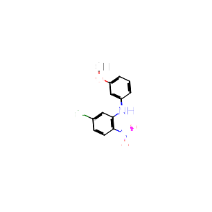 COc1cccc(Nc2cc(Cl)ccc2[N+](=O)[O-])c1